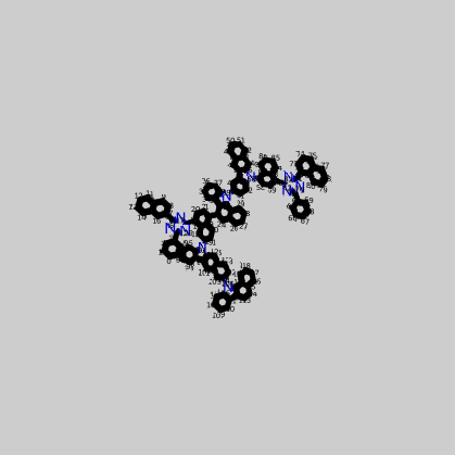 c1ccc(-c2nc(-c3ccc4ccccc4c3)nc(-c3ccc(-c4cc5ccccc5c5c4c4ccccc4n5-c4ccc5c(c4)c4cc6ccccc6cc4n5-c4ccc(-c5nc(-c6ccccc6)nc(-c6cccc7ccccc67)n5)c5ccccc45)c4ccc(-n5c6ccccc6c6cc7cc(-n8c9ccccc9c9ccc%10ccccc%10c98)ccc7cc65)cc34)n2)cc1